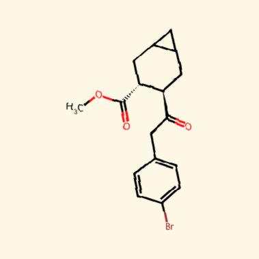 COC(=O)[C@@H]1CC2CC2C[C@H]1C(=O)Cc1ccc(Br)cc1